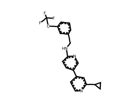 FC(F)(F)Oc1cccc(CNc2ccc(-c3ccnc(C4CC4)c3)cn2)c1